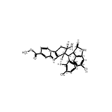 COC(=O)c1ccn2c3c(nc2c1)[C@@H]1[C@H](C3)N[C@@]2(C(=O)Nc3cc(Cl)ccc32)[C@H]1c1cccc(Cl)c1F